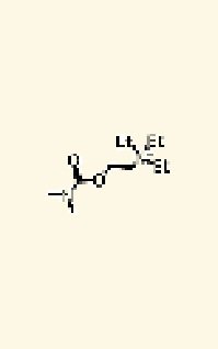 CC[N+](CC)(CC)CCOC(=O)N(C)C